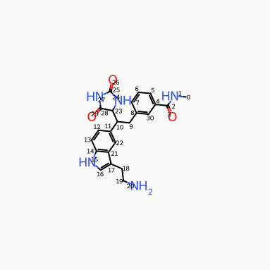 CNC(=O)c1cccc(CC(c2ccc3[nH]cc(CCN)c3c2)C2NC(=O)NC2=O)c1